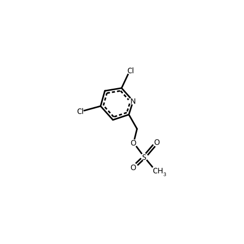 CS(=O)(=O)OCc1cc(Cl)cc(Cl)n1